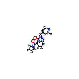 Cc1cc(Cn2nc3n(c2=O)C(C(=O)N2CCCC2)CCC3)ccn1